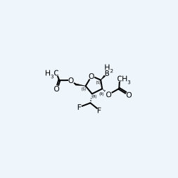 B[C@@H]1O[C@H](COC(C)=O)[C@@H](C(F)F)[C@H]1OC(C)=O